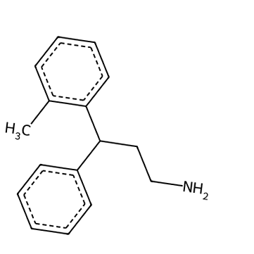 Cc1ccccc1C(CCN)c1ccccc1